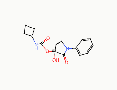 O=C(NC1CCC1)O[C@@]1(O)CCN(c2ccccc2)C1=O